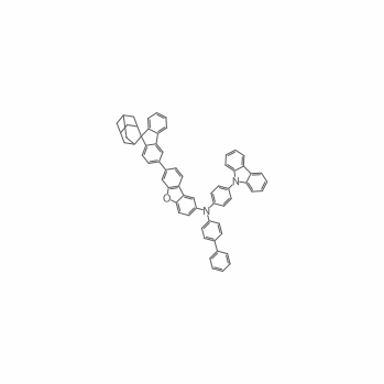 c1ccc(-c2ccc(N(c3ccc(-n4c5ccccc5c5ccccc54)cc3)c3ccc4oc5cc(-c6ccc7c(c6)-c6ccccc6C76C7CC8CC(C7)CC6C8)ccc5c4c3)cc2)cc1